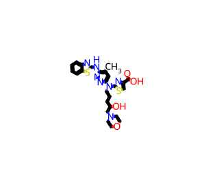 Cc1cc(N(CCCC(O)CN2CCOCC2)c2nc(C(=O)O)cs2)nnc1Nc1nc2ccccc2s1